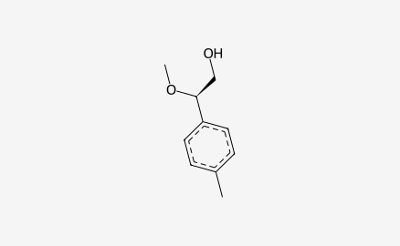 CO[C@@H](CO)c1ccc(C)cc1